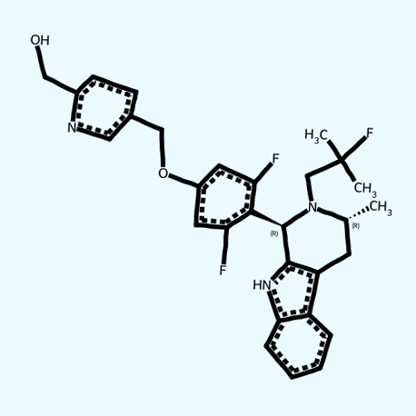 C[C@@H]1Cc2c([nH]c3ccccc23)[C@@H](c2c(F)cc(OCc3ccc(CO)nc3)cc2F)N1CC(C)(C)F